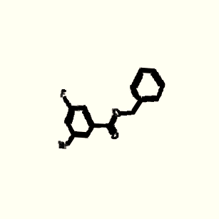 O=C(OCc1ccccc1)c1cc(F)cc(Br)c1